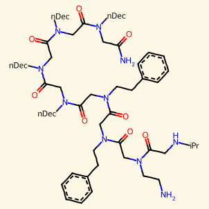 CCCCCCCCCCN(CC(N)=O)C(=O)CN(CCCCCCCCCC)C(=O)CN(CCCCCCCCCC)C(=O)CN(CCCCCCCCCC)C(=O)CN(CCc1ccccc1)C(=O)CN(CCc1ccccc1)C(=O)CN(CCN)C(=O)CNC(C)C